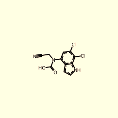 N#CCN(C(=O)O)c1cc(Cl)c(Cl)c2[nH]ccc12